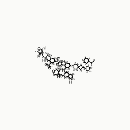 CC(C)c1ccccc1[C@@H]1CCCN1C1CC2(CCN(c3ccc(C(=O)NS(=O)(=O)c4cc5c(c([N+](=O)[O-])c4)N[C@@H](CN4C[C@H]6C[C@@H]4CO6)CO5)c(N4C[C@@H]5COCC[C@H]5Oc5nc6[nH]ccc6cc54)c3)CC2)C1